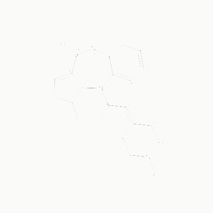 Cc1scc2c1N(C(=O)C=C1CCN(C)CC1)c1ccccc1NC2=O